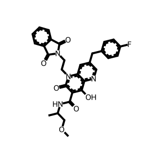 COCC(C)NC(=O)c1c(O)c2ncc(Cc3ccc(F)cc3)cc2n(CCN2C(=O)c3ccccc3C2=O)c1=O